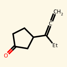 C=C=C(CC)C1CCC(=O)C1